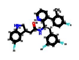 Cc1cc(F)ccc1-c1cccnc1[C@H](Cc1cc(F)cc(F)c1)NC(=O)CC1CNc2ccc(F)cc21